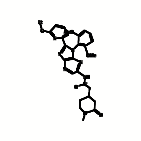 CCOc1cccc(-c2nc3ncc(N[S+]([O-])CC4CCN(C)C(=O)C4)nc3n2-c2c(OC)cccc2OC)n1